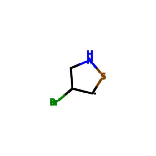 BrC1[CH]SNC1